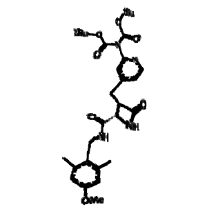 COc1cc(C)c(CNC(=O)[C@H]2NC(=O)C2Cc2ccnc(N(C(=O)OC(C)(C)C)C(=O)OC(C)(C)C)c2)c(C)c1